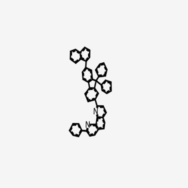 c1ccc(-c2ccc3ccc4ccc(-c5ccc6c(c5)C(c5ccccc5)(c5ccccc5)c5cc(-c7cccc8ccccc78)ccc5-6)nc4c3n2)cc1